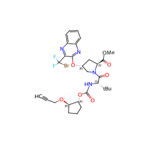 C#CCO[C@@H]1CCC[C@H]1OC(=O)N[C@H](C(=O)N1C[C@H](Oc2nc3ccccc3nc2C(F)(F)Br)C[C@H]1C(=O)OC)C(C)(C)C